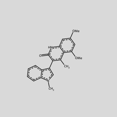 COc1cc(OC)c2c(C)c(-c3cn(C)c4ccccc34)c(=O)[nH]c2c1